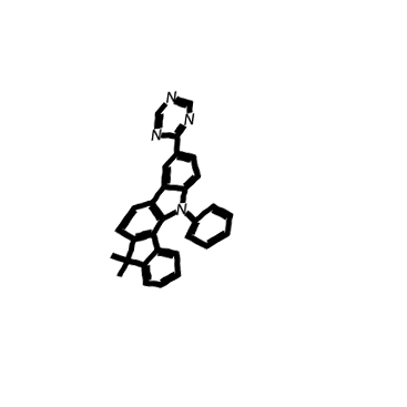 CC1(C)c2ccccc2-c2c1ccc1c3cc(-c4ncncn4)ccc3n(-c3ccccc3)c21